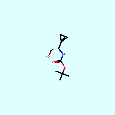 CC(C)(C)OC(=O)N[C@H](CO)C1=CC1